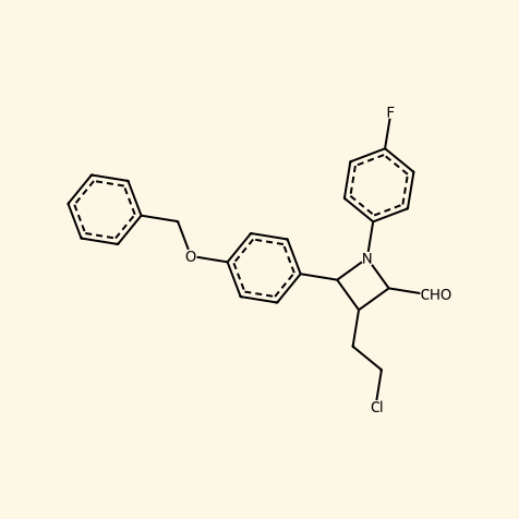 O=CC1C(CCCl)C(c2ccc(OCc3ccccc3)cc2)N1c1ccc(F)cc1